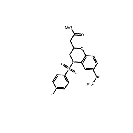 CNC(=O)CC1CN(S(=O)(=O)c2ccc(F)cc2)c2cc(NC(=O)O)ccc2O1